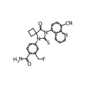 N#Cc1ccc(N2C(=O)C3(CCC3)N(c3ccc(C(N)=O)c(CF)c3)C2=S)c2cccnc12